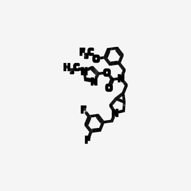 Cn1cnc(OC(=O)N(Cc2cccc(OC(F)(F)F)c2)CC2C3CN(Cc4cc(F)cc(F)c4)CC32)c1